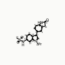 CC(C)n1cc(-c2ccc3c(c2)CC(=O)N3)c2ccc(NS(C)(=O)=O)cc21